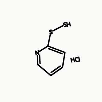 Cl.SSc1ccccn1